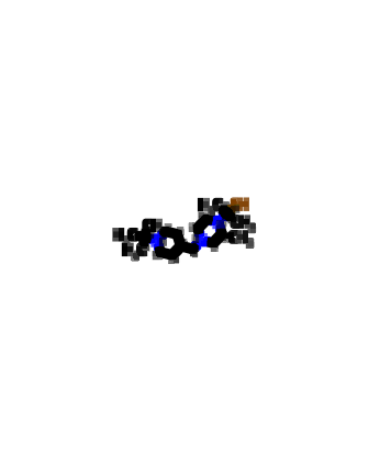 C[C@@H]1CN(CC2CCN(C(C)(C)C)CC2)CCN1C(C)(C)S